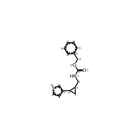 O=C(NCC1CC1c1ccsc1)OCc1ccccc1